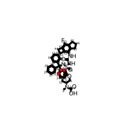 CN(C(=O)O)[C@@H]1COc2c(S(=O)(=NC(c3ccccc3)(c3ccccc3)c3ccccc3)NC(=O)Nc3c4c(c(F)c5c3CC5)CCC4)cnn2C1